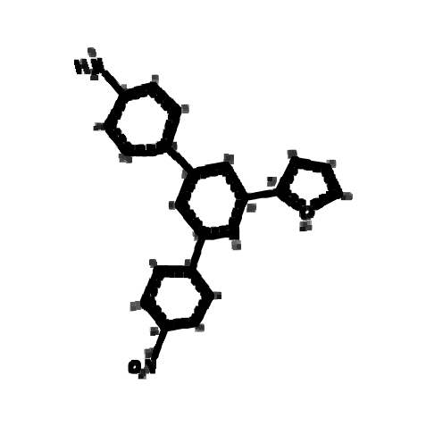 Nc1ccc(-c2cc(-c3ccc([N+](=O)[O-])cc3)nc(-c3ccco3)c2)cc1